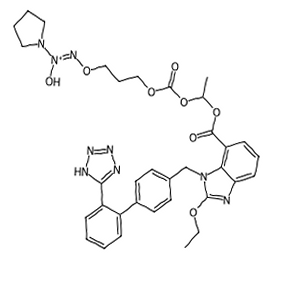 CCOc1nc2cccc(C(=O)OC(C)OC(=O)OCCCO/N=[N+](\O)N3CCCC3)c2n1Cc1ccc(-c2ccccc2-c2nnn[nH]2)cc1